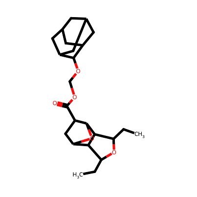 CCC1OC(CC)C2C3OC(CC3C(=O)OCOC3C4CC5CC(C4)CC3C5)C12